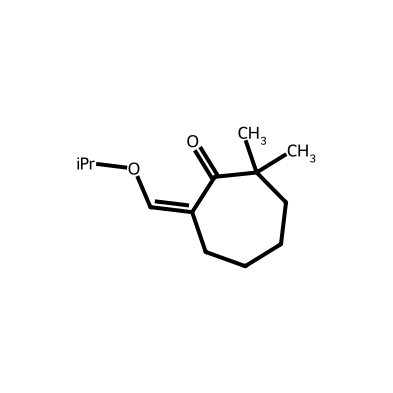 CC(C)O/C=C1/CCCCC(C)(C)C1=O